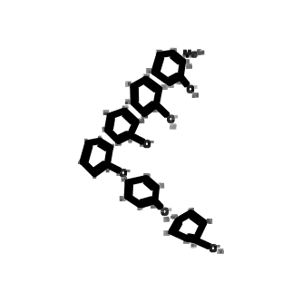 [Mo+6].[O-]c1ccccc1.[O-]c1ccccc1.[O-]c1ccccc1.[O-]c1ccccc1.[O-]c1ccccc1.[O-]c1ccccc1